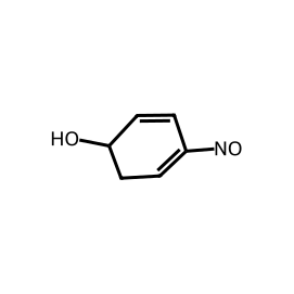 O=NC1=CCC(O)C=C1